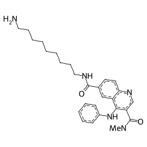 CNC(=O)c1cnc2ccc(C(=O)NCCCCCCCCCN)cc2c1Nc1ccccc1